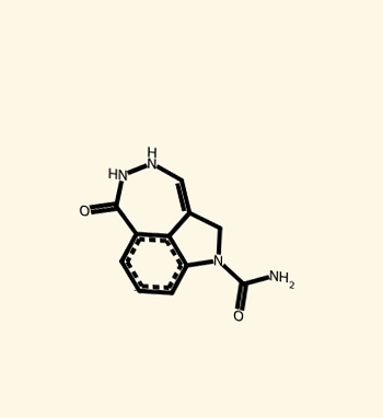 NC(=O)N1CC2=CNNC(=O)c3c[c]cc1c32